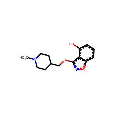 O=C(O)N1CCC(COc2noc3cccc(O)c23)CC1